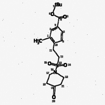 Cc1cc(C(=O)OC(C)(C)C)ccc1CCS(=O)(=O)N1CCC(=O)CC1